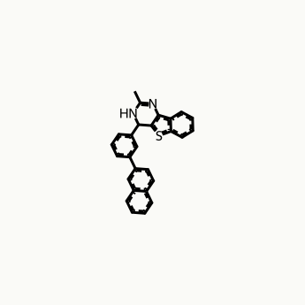 CC1=Nc2c(sc3ccccc23)C(c2cccc(-c3ccc4ccccc4c3)c2)N1